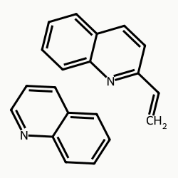 C=Cc1ccc2ccccc2n1.c1ccc2ncccc2c1